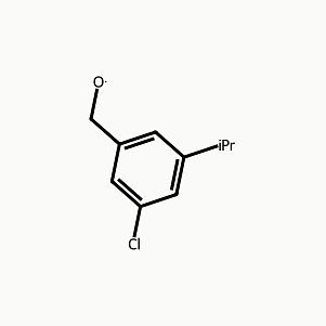 CC(C)c1cc(Cl)cc(C[O])c1